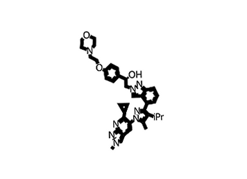 Cc1c(C(C)C)c(-c2cccc3nn(C[C@H](O)c4ccc(OCCN5CCOCC5)cc4)cc23)nn1-c1cc2cn(C)nc2nc1C1CC1